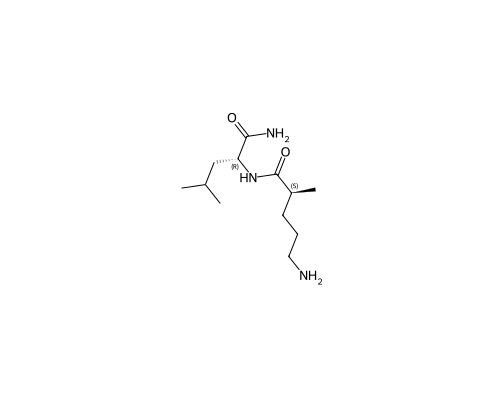 CC(C)C[C@@H](NC(=O)[C@@H](C)CCCN)C(N)=O